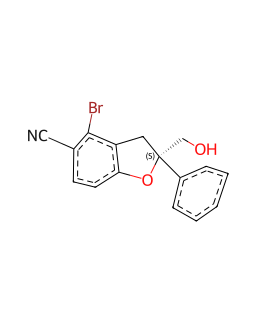 N#Cc1ccc2c(c1Br)C[C@@](CO)(c1ccccc1)O2